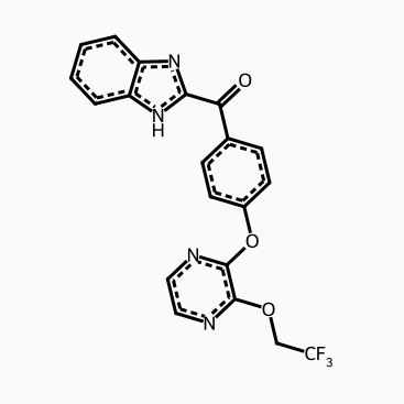 O=C(c1ccc(Oc2nccnc2OCC(F)(F)F)cc1)c1nc2ccccc2[nH]1